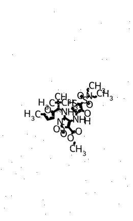 CCOC(=O)C1=C(Nc2csc(S(=O)(=O)N(CC)CC)c2O)C(N[C@@H](c2ccc(C)o2)C(C)(C)C)=NS1(=O)=O